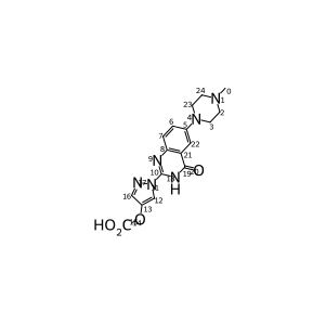 CN1CCN(c2ccc3nc(-n4cc(OC(=O)O)cn4)[nH]c(=O)c3c2)CC1